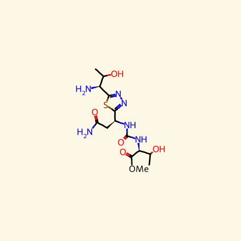 COC(=O)[C@@H](NC(=O)N[C@@H](CC(N)=O)c1nnc([C@@H](N)C(C)O)s1)C(C)O